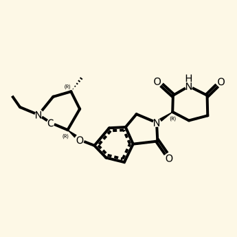 CCN1C[C@H](C)C[C@@H](Oc2ccc3c(c2)CN([C@@H]2CCC(=O)NC2=O)C3=O)C1